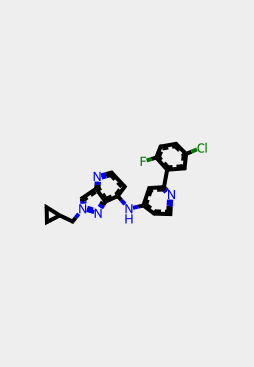 Fc1ccc(Cl)cc1-c1cc(Nc2ccnc3cn(CC4CC4)nc23)ccn1